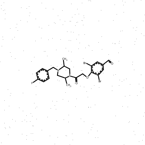 CC1CN(C(=O)COc2c(Br)cc(C=O)cc2Br)C(C)CN1Cc1ccc(F)cc1